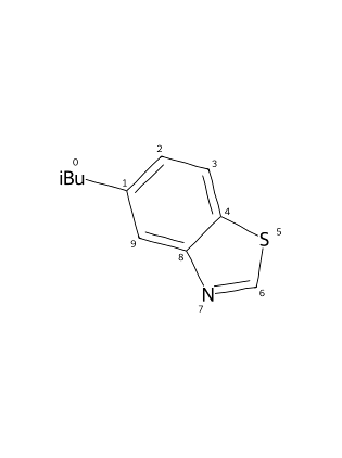 CCC(C)c1ccc2scnc2c1